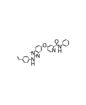 C=Cc1ccc(Nc2nc3cc(Oc4ccnc(C(=O)Nc5ccccc5)c4)ccc3n2C)cc1